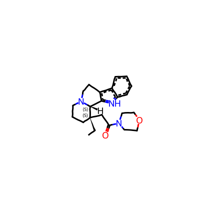 CC[C@@]1(CC(=O)N2CCOCC2)CCCN2CCc3c([nH]c4ccccc34)[C@@H]21